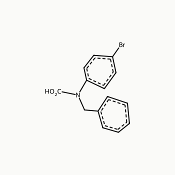 O=C(O)N(Cc1ccccc1)c1ccc(Br)cc1